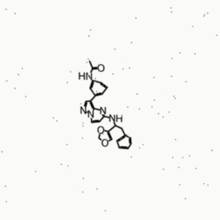 CC(=O)Nc1cccc(-c2cnn3ccc(NC(Cc4ccccc4)C4=COCO4)nc23)c1